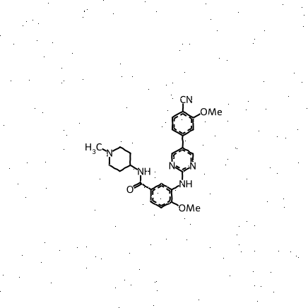 COc1cc(-c2cnc(Nc3cc(C(=O)NC4CCN(C)CC4)ccc3OC)nc2)ccc1C#N